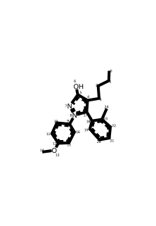 CCCCc1c(O)nn(-c2ccc(OC)cc2)c1-c1ccccc1C